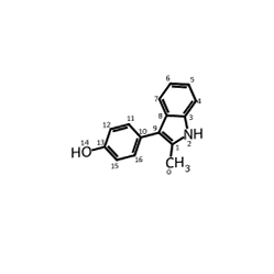 Cc1[nH]c2ccccc2c1-c1ccc(O)cc1